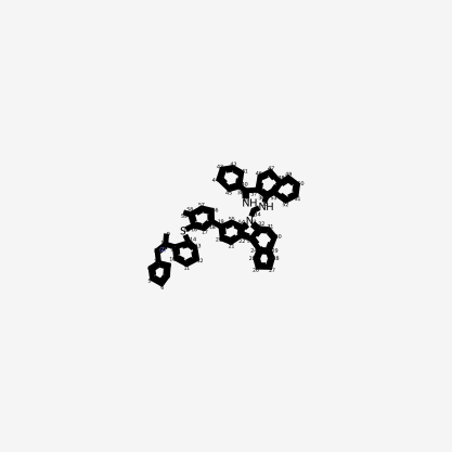 C/C(=C/c1ccccc1)c1ccccc1Sc1cc(-c2ccc3c4c5ccccc5ccc4n(CNc4c(C(=N)c5ccccc5)ccc5ccccc45)c3c2)ccc1C